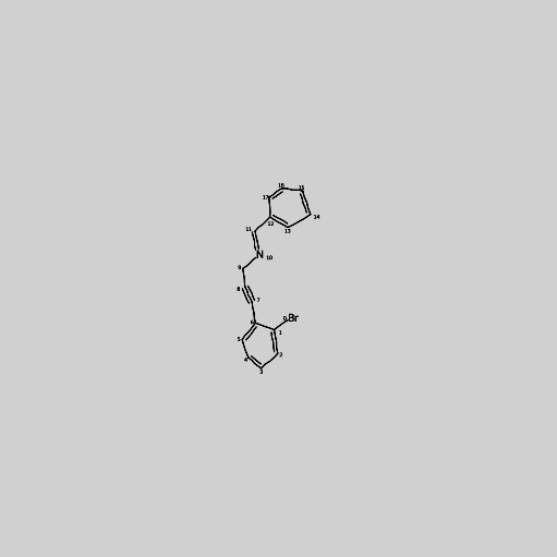 Brc1ccccc1C#CCN=Cc1ccccc1